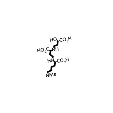 CNCCCC[C@H](NCC[C@H](NCC[C@H](O)C(=O)O)C(=O)O)C(=O)O